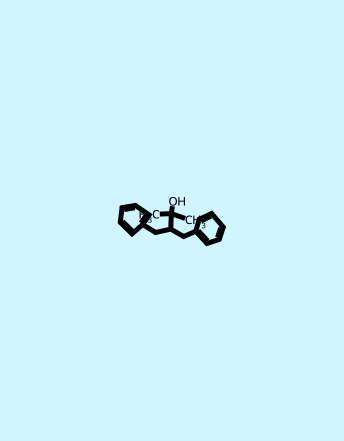 CC(C)(O)C(Cc1ccccc1)Cc1ccccc1